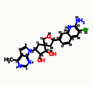 Cc1ncnc2c1ccn2C1CC2(COC(c3ccc4cc(Br)c(N)nc4c3)C2)C(O)C1O